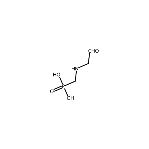 O=CCNCP(=O)(O)O